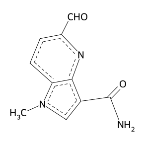 Cn1cc(C(N)=O)c2nc(C=O)ccc21